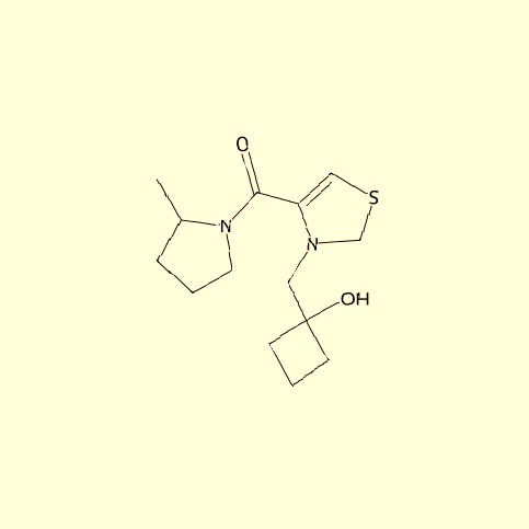 CC1CCCN1C(=O)C1=CSCN1CC1(O)CCC1